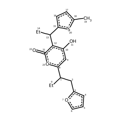 CCC(Cc1ccco1)c1cc(O)c(C(CC)c2ccc(C)s2)c(=O)o1